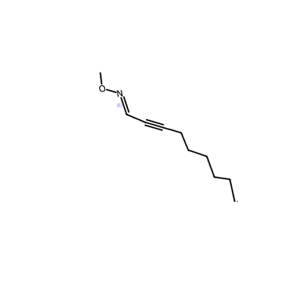 [CH2]CCCCCC#C/C=N/OC